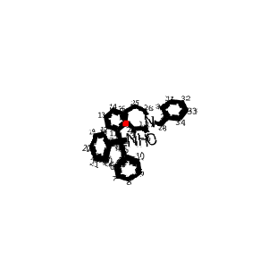 O=C1C(NC(c2ccccc2)(c2ccccc2)c2ccccc2)CCCCN1Cc1ccccc1